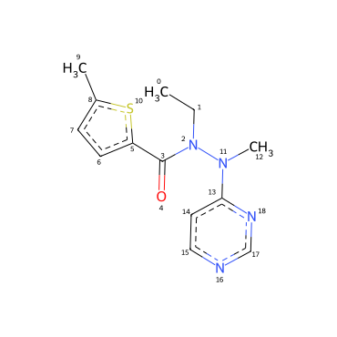 CCN(C(=O)c1ccc(C)s1)N(C)c1ccncn1